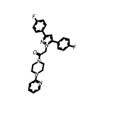 O=C(Cn1nc(-c2ccc(F)cc2)cc1-c1ccc(F)cc1)N1CCN(c2ccccn2)CC1